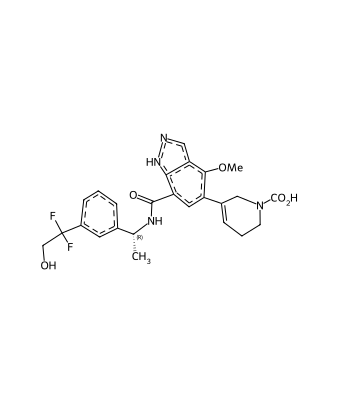 COc1c(C2=CCCN(C(=O)O)C2)cc(C(=O)N[C@H](C)c2cccc(C(F)(F)CO)c2)c2[nH]ncc12